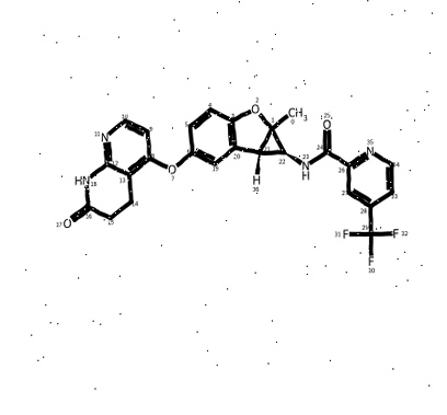 CC12Oc3ccc(Oc4ccnc5c4CCC(=O)N5)cc3[C@H]1[C@@H]2NC(=O)c1cc(C(F)(F)F)ccn1